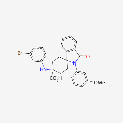 COc1cccc(N2C(=O)c3ccccc3C23CCC(Nc2cccc(Br)c2)(C(=O)O)CC3)c1